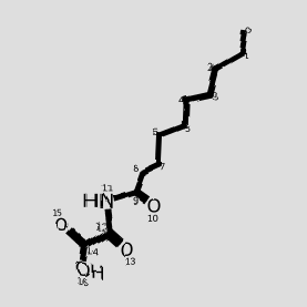 CCCCCCCCCC(=O)NC(=O)C(=O)O